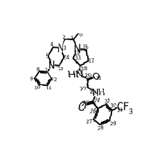 CC(CN1CCN(c2ccccc2)CC1)N1CC[C@@H](NC(=O)CNC(=O)c2cccc(C(F)(F)F)c2)C1